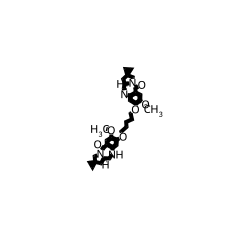 COc1cc2c(cc1OCCCCCOc1cc3c(cc1OC)C(=O)N1CC4(CC4)C[C@H]1CN3)N=C[C@@H]1CC3(CC3)CN1C2=O